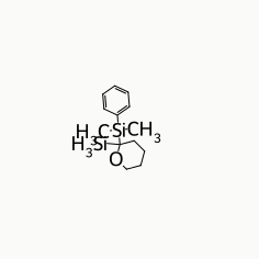 C[Si](C)(c1ccccc1)C1([SiH3])CCCCO1